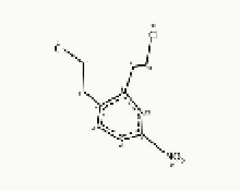 O=[N+]([O-])c1ccc(CCCl)c(CCCl)c1